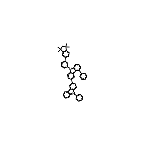 CC1(C)CC(C)(C)c2cc(-c3cccc(-n4c5ccc(-c6ccc7c(c6)c6ccccc6n7-c6ccccc6)cc5c5c(-c6ccccc6)cccc54)c3)ccc21